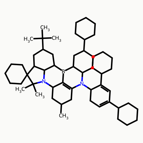 CC1CC2=C3B(C4CC(C5CCCCC5)CCC4N2C2CC=C(C4CCCCC4)C=C2C2CCCCC2)C2CC(C(C)(C)C)CC4C2N(C3C1)C(C)(C)C41CCCCC1